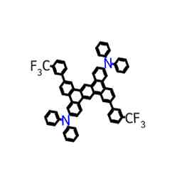 FC(F)(F)c1cccc(-c2ccc3c(c2)c2cc4c5ccc(N(c6ccccc6)c6ccccc6)cc5c5ccc(-c6cccc(C(F)(F)F)c6)cc5c4cc2c2ccc(N(c4ccccc4)c4ccccc4)cc32)c1